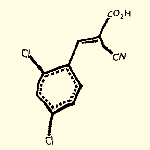 N#C/C(=C\c1ccc(Cl)cc1Cl)C(=O)O